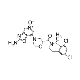 C[C@H]1c2c(Cl)cc(Cl)cc2CCN1C(=O)[C@H]1CN(c2c[n+]([O-])cc3nc(N)oc23)CCO1